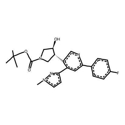 Cn1ccc(-c2cc(-c3ccc(F)cc3)ncc2[C@@H]2CN(C(=O)OC(C)(C)C)C[C@H]2O)n1